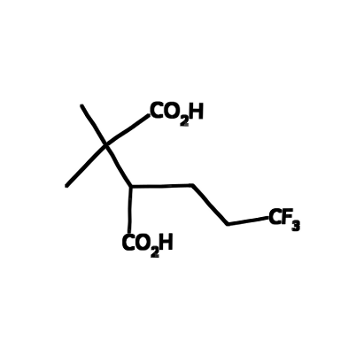 CC(C)(C(=O)O)C(CCC(F)(F)F)C(=O)O